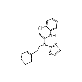 S=C(Nc1ccccc1Cl)N(CCC1=CCCCC1)c1nccs1